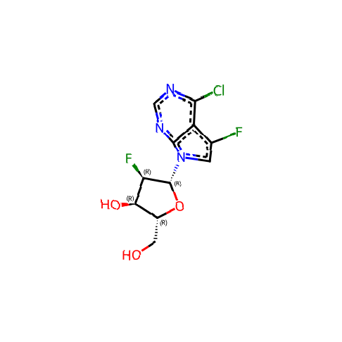 OC[C@H]1O[C@@H](n2cc(F)c3c(Cl)ncnc32)[C@H](F)[C@@H]1O